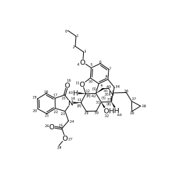 CCCCOc1ccc2c3c1O[C@H]1[C@H](N4C(=O)c5ccccc5C4CC(=O)OC)CC[C@@]4(O)[C@@H](C2)N(CC2CC2)CC[C@]314